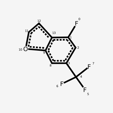 Fc1cc(C(F)(F)F)cc2oc[c]c12